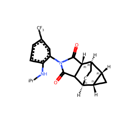 CC(C)Nc1ccc(C(F)(F)F)cc1N1C(=O)C2[C@H]3CC[C@H]([C@@H]4C[C@@H]43)[C@H]2C1=O